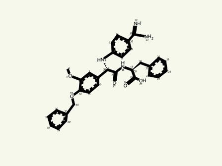 COc1cc([C@H](Nc2ccc(C(=N)N)cc2)C(=O)N[C@@H](Cc2ccccc2)C(=O)O)ccc1OCc1ccccc1